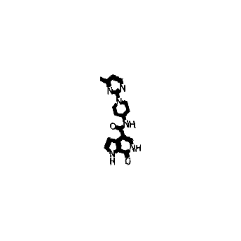 Cc1ccnc(N2CCC(NC(=O)c3c[nH]c(=O)c4[nH]ccc34)CC2)n1